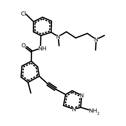 Cc1ccc(C(=O)Nc2cc(Cl)ccc2N(C)CCCN(C)C)cc1C#Cc1cnc(N)nc1